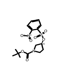 CC(C)(C)OC(=O)N1CC[C@H](OS(=O)(=O)c2ccccc2[N+](=O)[O-])C1